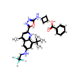 Cc1cc(-c2nnc(N[C@H]3C[C@@H](OC(=O)c4ccccc4)C3)o2)nc2c(C(C)(C)C)cc(NCC(F)(F)F)cc12